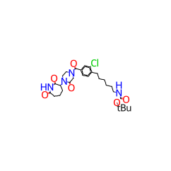 CC(C)(C)OC(=O)NCCCCCCc1ccc(C(=O)N2CCN(C3CCCC(=O)NC3=O)C(=O)C2)cc1Cl